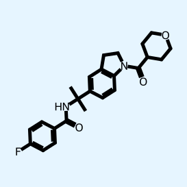 CC(C)(NC(=O)c1ccc(F)cc1)c1ccc2c(c1)CCN2C(=O)C1CCOCC1